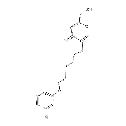 O=c1cc(CO)occ1OCCCCCOc1cccc(Cl)c1